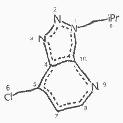 CC(C)n1nnc2c(Cl)ccnc21